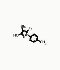 CCc1c(C(C)(C)C)c(O)nn1-c1ccc(C)cc1